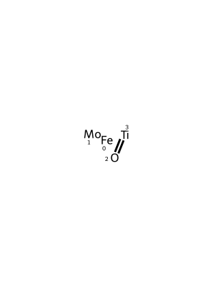 [Fe].[Mo].[O]=[Ti]